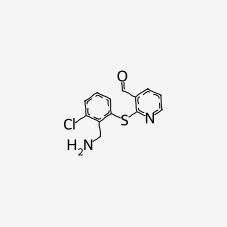 NCc1c(Cl)cccc1Sc1ncccc1C=O